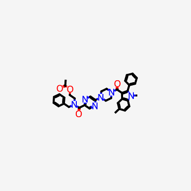 CC(=O)OCCN(Cc1ccccc1)C(=O)c1cnc(N2CCN(C(=O)c3c(-c4ccccc4)n(C)c4ccc(C)cc34)CC2)cn1